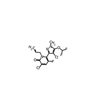 C=CCn1c(-c2nn(C)c(OC(F)F)c2Cl)c(F)cc(Cl)c1=O